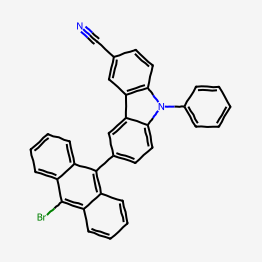 N#Cc1ccc2c(c1)c1cc(-c3c4ccccc4c(Br)c4ccccc34)ccc1n2-c1ccccc1